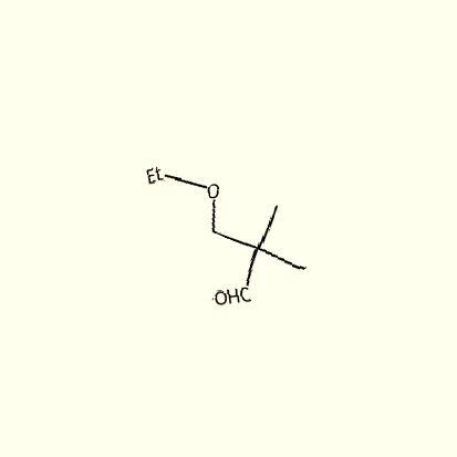 CCOCC(C)(C)[C]=O